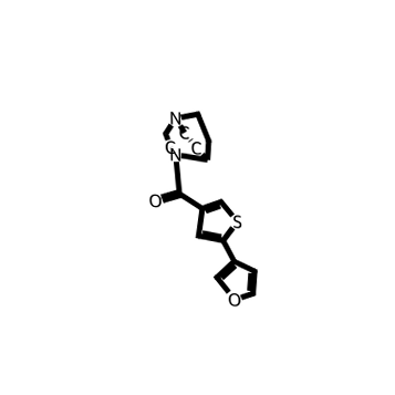 O=C(c1csc(-c2ccoc2)c1)N1CCN2CCC1CC2